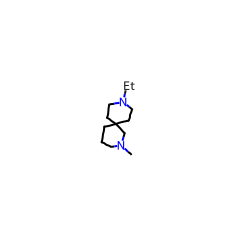 CCN1CCC2(CCCN(C)C2)CC1